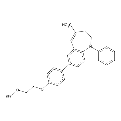 CCCOCCOc1ccc(-c2ccc3c(c2)C=C(C(=O)O)CCN3c2ccccc2)cc1